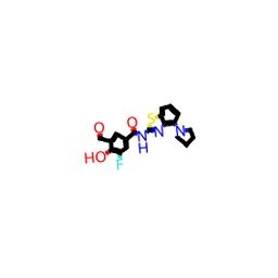 O=Cc1cc(C(=O)Nc2nc3c(N4CCCC4)cccc3s2)cc(F)c1O